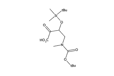 CN(CC(O[Si](C)(C)C(C)(C)C)C(=O)C(=O)O)C(=O)OC(C)(C)C